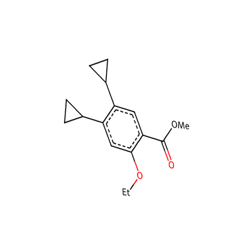 CCOc1cc(C2CC2)c(C2CC2)cc1C(=O)OC